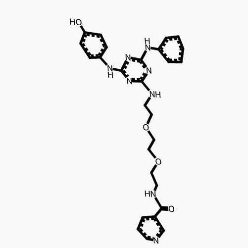 O=C(NCCOCCOCCNc1nc(Nc2ccccc2)nc(Nc2ccc(O)cc2)n1)c1cccnc1